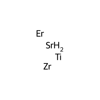 [Er].[SrH2].[Ti].[Zr]